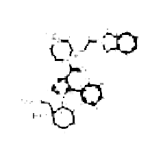 COC[C@]1(O)CCCC[C@H]1n1cnc(C(=O)N2CCN(C(=O)O)C[C@H]2CCN2Cc3ccccc3C2)c1-c1ccccc1